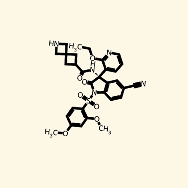 CCOc1ncccc1[C@]1(NC(=O)C2CC3(CNC3)C2)C(=O)N(S(=O)(=O)c2ccc(OC)cc2OC)c2ccc(C#N)cc21